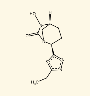 CCc1nnc([C@@H]2CC[C@@H]3CN2C(=O)N3O)s1